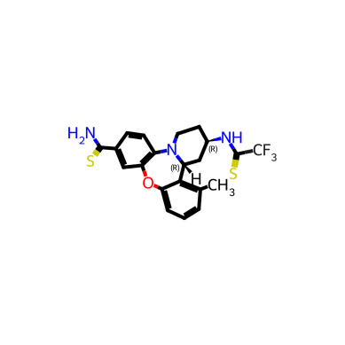 Cc1cccc2c1[C@H]1C[C@H](NC(=S)C(F)(F)F)CCN1c1ccc(C(N)=S)cc1O2